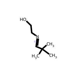 CC(C)(C)/C=N/CCO